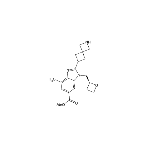 COC(=O)c1cc(C)c2nc(C3CC4(CNC4)C3)n(C[C@@H]3CCO3)c2c1